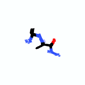 C=C(N)/N=C(\C)C(=O)NN